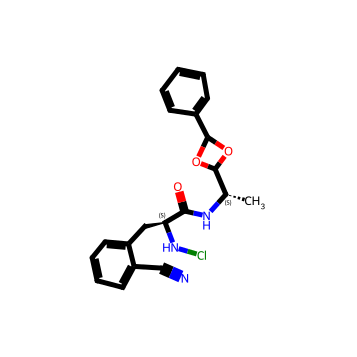 C[C@H](NC(=O)[C@H](Cc1ccccc1C#N)NCl)C1OC(c2ccccc2)O1